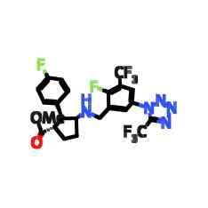 COC(=O)[C@H]1CC[C@H](NCc2cc(-n3nnnc3C(F)(F)F)cc(C(F)(F)F)c2F)[C@@H]1c1ccc(F)cc1